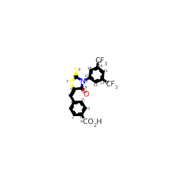 O=C(O)c1ccc(/C=C2/SC(=S)N(c3cc(C(F)(F)F)cc(C(F)(F)F)c3)C2=O)cc1